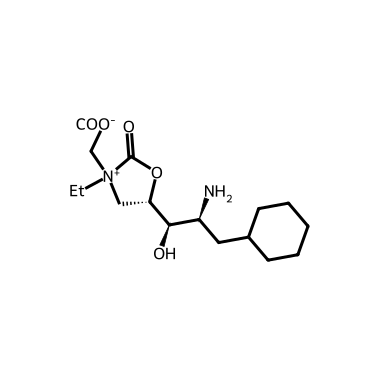 CC[N+]1(CC(=O)[O-])C[C@@H]([C@H](O)[C@@H](N)CC2CCCCC2)OC1=O